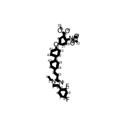 CCn1cc(-c2ccc(F)cc2F)nc1/C=C/c1ccc(-c2ccc(Oc3ccc(NS(C)(=O)=O)c(C(=O)OC)c3)cc2)cc1